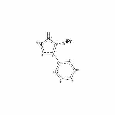 CC(C)c1[nH]n[c]c1-c1ccccc1